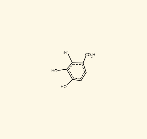 CC(C)c1c(C(=O)O)ccc(O)c1O